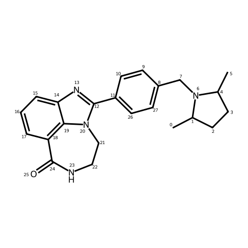 CC1CCC(C)N1Cc1ccc(-c2nc3cccc4c3n2CCNC4=O)cc1